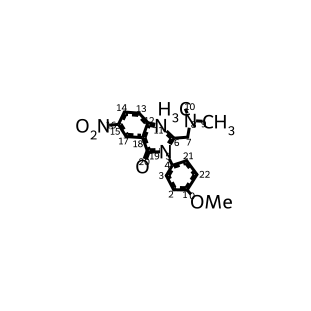 COc1ccc(-n2c(CN(C)C)nc3ccc([N+](=O)[O-])cc3c2=O)cc1